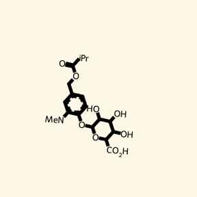 CNc1cc(COC(=O)C(C)C)ccc1OC1OC(C(=O)O)C(O)C(O)C1O